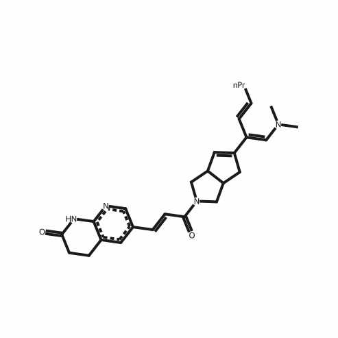 CCC/C=C/C(=C\N(C)C)C1=CC2CN(C(=O)/C=C/c3cnc4c(c3)CCC(=O)N4)CC2C1